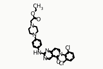 CCOC(=O)CN1CCN(c2ccc(Nc3ncc4c(=O)n(-c5c(Cl)cccc5Cl)ccc4n3)cc2)CC1